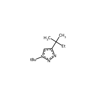 CCC(C)(C)c1cn(C(C)(C)C)nn1